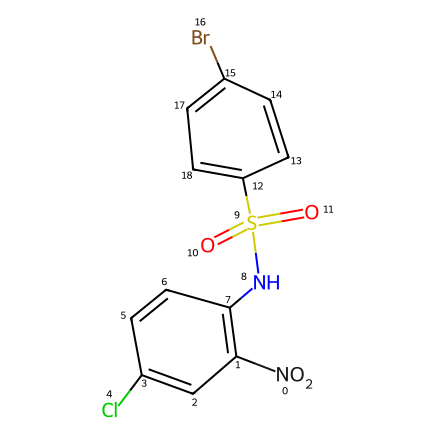 O=[N+]([O-])c1cc(Cl)ccc1NS(=O)(=O)c1ccc(Br)cc1